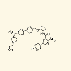 C[C@@H](c1ccc(-c2ccc(COC3CCC[C@@H]3NC(=O)c3cc(-c4ccc(F)nc4)cnc3N)cc2)cc1)N1CCN(CCO)CC1